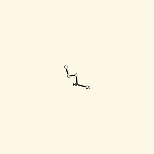 CCPSOCl